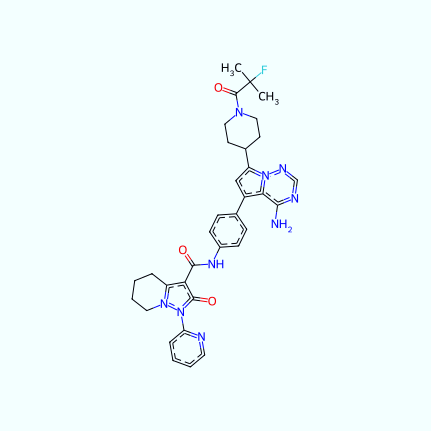 CC(C)(F)C(=O)N1CCC(c2cc(-c3ccc(NC(=O)c4c5n(n(-c6ccccn6)c4=O)CCCC5)cc3)c3c(N)ncnn23)CC1